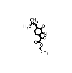 CCOC(=O)c1onc2c1CC/C(=C\N(C)C)C2=O